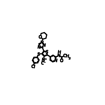 [C-]#[N+]c1c(-c2ccnc(NC(C)=O)c2)sc(-c2ncn(C3CCCCO3)n2)c1Sc1ccc(Cl)cc1